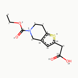 CCOC(=O)N1CCc2sc(CC(=O)O)cc2C1